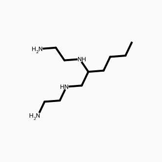 CCCCC(CNCCN)NCCN